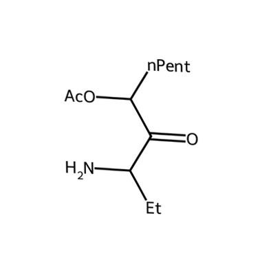 CCCCCC(OC(C)=O)C(=O)C(N)CC